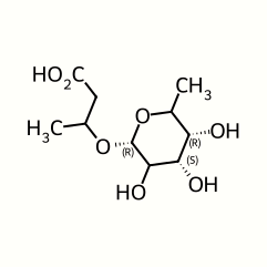 CC(CC(=O)O)O[C@@H]1OC(C)[C@H](O)[C@H](O)C1O